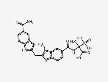 Cn1c(Cc2nc3cc(C(N)=O)ccc3[nH]2)nc2ccc(C(=O)NC(C)(C(=O)O)P(=O)(O)O)cc21